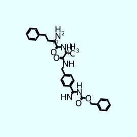 C[C@H](NC(=O)[C@H](N)CCc1ccccc1)C(=O)NCc1ccc(C(=N)NC(=O)OCc2ccccc2)cc1